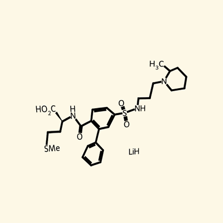 CSCC[C@H](NC(=O)c1ccc(S(=O)(=O)NCCCN2CCCCC2C)cc1-c1ccccc1)C(=O)O.[LiH]